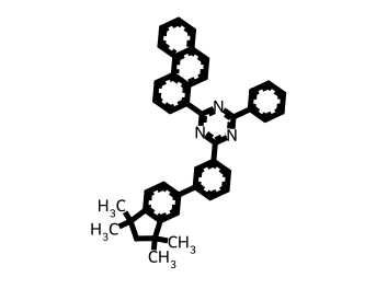 CC1(C)CC(C)(C)c2cc(-c3cccc(-c4nc(-c5ccccc5)nc(-c5cccc6c5ccc5ccccc56)n4)c3)ccc21